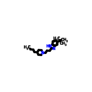 CCCCC1CCN(CCCc2nc3cc(C(C)(C)C)ccc3[nH]2)CC1